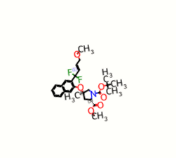 COC/C=C/C(F)(F)c1cc2ccccc2cc1O[C@]1(C)C[C@@H](C(=O)OC)N(C(=O)OC(C)(C)C)C1